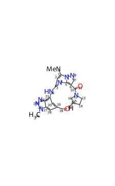 CNc1cc2nc3c(cnn13)C(=O)N1CC[C@H](C1)OCc1cc(c3nnn(C)c3c1)N2